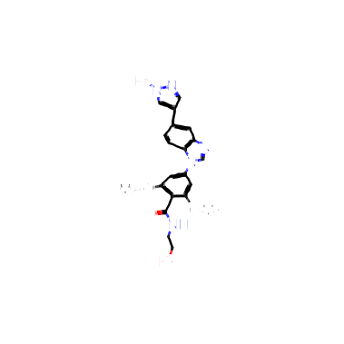 CCn1cc(-c2ccc3c(c2)ncn3-c2cc(OC)c(C(=O)NCCO)c(OC)c2)cn1